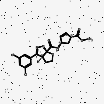 COC(=O)[C@@H]1C=C[C@H](NC(=O)C23OCC[C@H]2C(c2cc(Cl)cc(Cl)c2)=NO3)C1